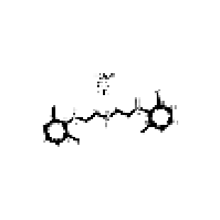 Cc1cccc(C)c1NCCNCCNc1c(C)cccc1C.[Cl-].[Cl-].[Os+2]